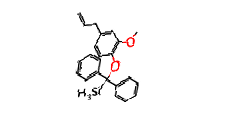 C=CCc1ccc(OC([SiH3])(c2ccccc2)c2ccccc2)c(OC)c1